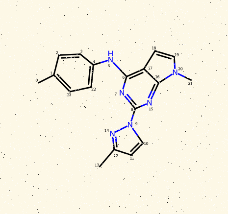 Cc1ccc(Nc2nc(-n3ccc(C)n3)nc3c2ccn3C)cc1